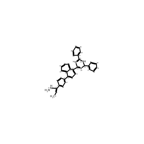 C/C=C(\NN)c1ccc(-c2ccc(C3=NC(c4ccccc4)NC(c4ccccc4)=N3)c3ccccc23)cc1